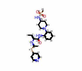 C/C=C(\N=C(/C)Sc1ccncc1)C(=O)Nc1ccccc1N1CCC(NS(C)(=O)=O)CC1